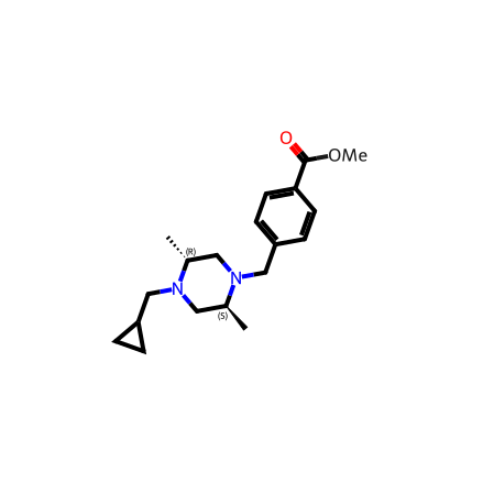 COC(=O)c1ccc(CN2C[C@@H](C)N(CC3CC3)C[C@@H]2C)cc1